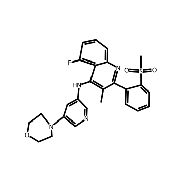 Cc1c(-c2ccccc2S(C)(=O)=O)nc2cccc(F)c2c1Nc1cncc(N2CCOCC2)c1